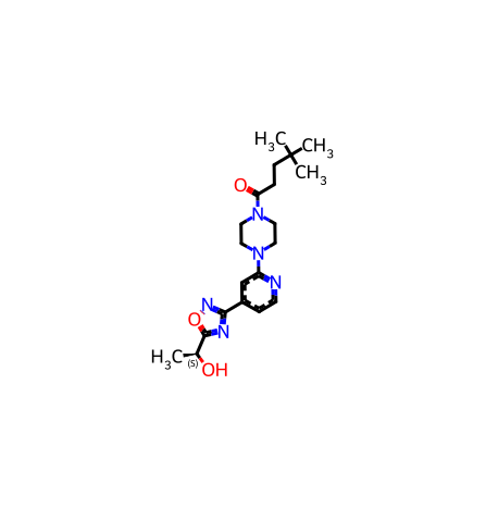 C[C@H](O)c1nc(-c2ccnc(N3CCN(C(=O)CCC(C)(C)C)CC3)c2)no1